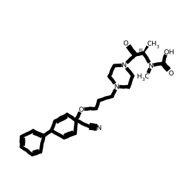 C[C@H](C(=O)N1CCN(CCCOC2(C#N)C=CC(c3ccccc3)C=C2)CC1)N(C)C(=O)O